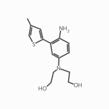 Cc1csc(-c2cc(N(CCO)CCO)ccc2N)c1